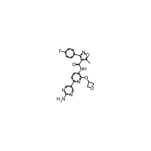 Cc1onc(-c2ccc(F)cc2)c1C(=O)Nc1ccc(-c2cnc(N)nc2)nc1OC1COC1